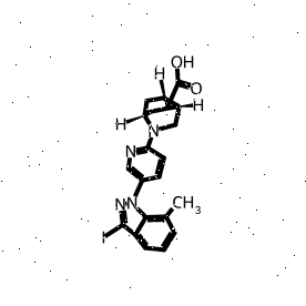 Cc1cccc2c(I)nn(-c3ccc(N4C[C@H]5CC[C@@H]4C[C@@H]5C(=O)O)nc3)c12